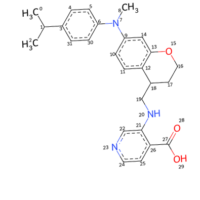 CC(C)c1ccc(N(C)c2ccc3c(c2)OCCC3CNc2cnccc2C(=O)O)cc1